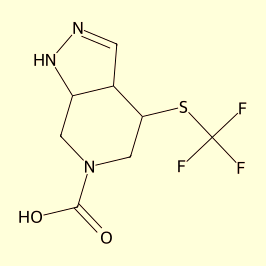 O=C(O)N1CC2NN=CC2C(SC(F)(F)F)C1